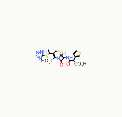 CC(Sc1nnn[nH]1)C1=C(C(=O)O)N2C(=O)C(NC(=O)C(C(=O)O)c3ccsc3)[C@@H]2SC1